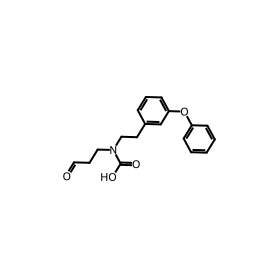 O=CCCN(CCc1cccc(Oc2ccccc2)c1)C(=O)O